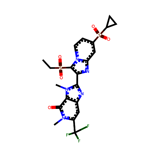 CCS(=O)(=O)c1c(-c2nc3cc(C(F)(F)F)n(C)c(=O)c3n2C)nc2cc(S(=O)(=O)C3CC3)ccn12